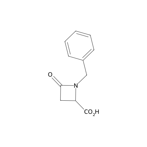 O=C(O)C1CC(=O)N1Cc1ccccc1